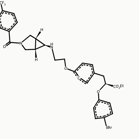 CCOC(=O)[C@H](Cc1ccc(OCCN[C@H]2[C@@H]3CN(C(=O)c4ccc(C(F)(F)F)cc4)C[C@@H]32)cc1)Oc1ccc(C(C)(C)C)cc1